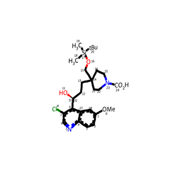 COc1ccc2ncc(Cl)c([C@@H](O)CCC3(CO[Si](C)(C)C(C)(C)C)CCN(C(=O)O)CC3)c2c1